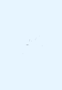 CCC(C=CNC(=O)OC(C)(C)C)C(=O)O